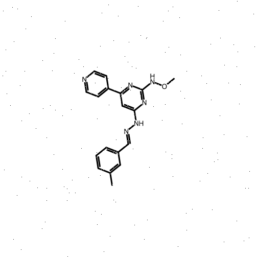 CONc1nc(NN=Cc2cccc(C)c2)cc(-c2ccncc2)n1